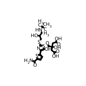 CC(C)(C)NCC(O)CSc1nc(-c2ccc(C(N)=O)s2)cs1.O=C(O)CC(O)(CC(=O)O)C(=O)O